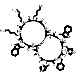 C[C@@H]1NC(=O)C2CSS[C@H](NC(=O)[C@H](Cc3c[nH]c4ccccc34)NC(=O)[C@H](CCCCN)NC(=O)[C@H](CCCCN)NC(=O)[C@H](CCCCN)NC1=O)C(=O)N(C)CC(=O)N[C@@H](Cc1c[nH]cn1)C(=O)N[C@H](Cc1ccccc1)C(=O)N[C@@H](Cc1c[nH]cn1)C(=O)N[C@@H](Cc1c[nH]c3ccccc13)C(=O)N2